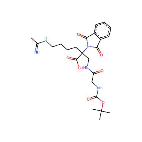 CC(=N)NCCCCC(CNC(=O)CNC(=O)OC(C)(C)C)(C(=O)O)N1C(=O)c2ccccc2C1=O